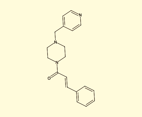 O=C(/C=C/c1ccccc1)N1CCN(Cc2ccncc2)CC1